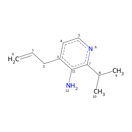 C=CCc1ccnc(C(C)C)c1N